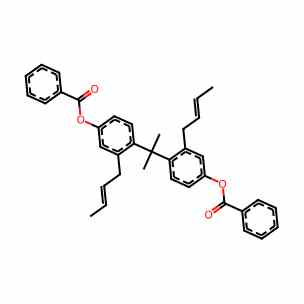 CC=CCc1cc(OC(=O)c2ccccc2)ccc1C(C)(C)c1ccc(OC(=O)c2ccccc2)cc1CC=CC